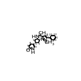 C[C@@H](NC1CC[C@H](c2ccc(=O)[nH]c2)C1)c1cc(-c2ccccc2)n(C)n1